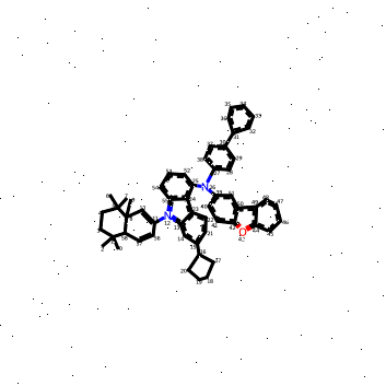 CC1(C)CCC(C)(C)C2(C)C=C(n3c4cc(C5CCCC5)ccc4c4c(N(c5ccc(-c6ccccc6)cc5)c5ccc6oc7ccccc7c6c5)cccc43)C=CC12